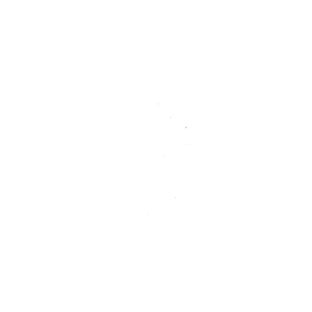 COP(C)(=O)CC(=O)C1CCC(F)(F)CC1